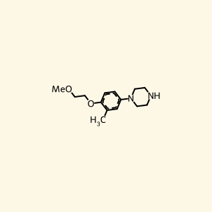 COCCOc1ccc(N2CCNCC2)cc1C